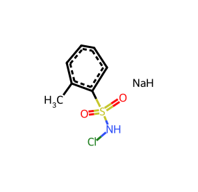 Cc1ccccc1S(=O)(=O)NCl.[NaH]